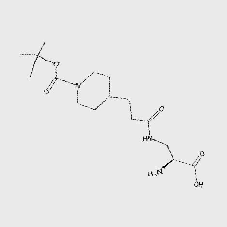 CC(C)(C)OC(=O)N1CCC(CCC(=O)NC[C@H](N)C(=O)O)CC1